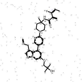 C=NCc1cnn2cc(OCC(C)(C)O)cc(-c3ccc(N4CCC(C)(NC(=O)C(=C)/C(F)=C\C)CC4)nc3)c12